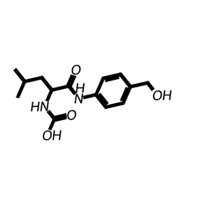 CC(C)CC(NC(=O)O)C(=O)Nc1ccc(CO)cc1